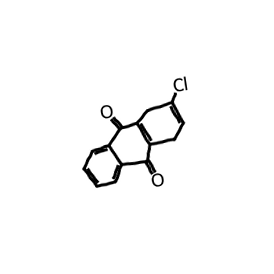 O=C1C2=C(CC(Cl)=CC2)C(=O)c2ccccc21